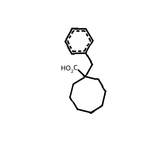 O=C(O)C1(Cc2ccccc2)CCCCCCC1